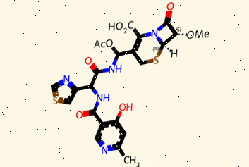 CO[C@H]1C(=O)N2C(C(=O)O)=C(C(NC(=O)C(NC(=O)c3cnc(C)cc3O)c3cscn3)OC(C)=O)CS[C@H]12